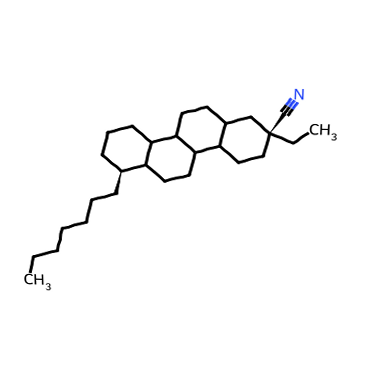 CCCCCCC[C@H]1CCCC2C3CCC4C[C@](C#N)(CC)CCC4C3CCC21